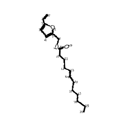 C=Cc1ccc(COC(=O)CCCCCCCCCCC)o1